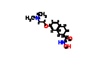 CN(C)CCOc1ccc2c(c1)CC(C(=O)NO)CC2